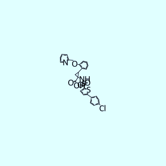 O=C(O)C1(NS(=O)(=O)c2ccc(-c3ccc(Cl)cc3)s2)CC1c1ccccc1OCc1ccccn1